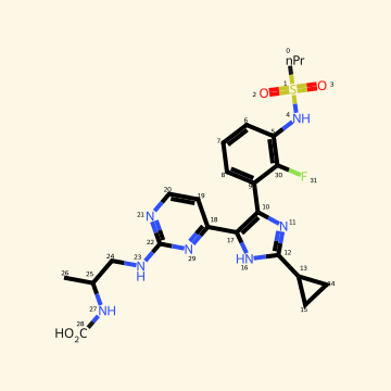 CCCS(=O)(=O)Nc1cccc(-c2nc(C3CC3)[nH]c2-c2ccnc(NCC(C)NC(=O)O)n2)c1F